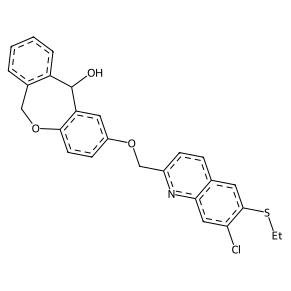 CCSc1cc2ccc(COc3ccc4c(c3)C(O)c3ccccc3CO4)nc2cc1Cl